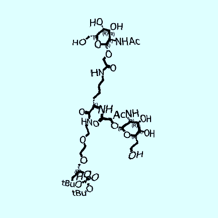 CC(=O)N[C@H]1[C@H](OCC(=O)NCCCC[C@H](NC(=O)CO[C@@H]2O[C@H](CCO)[C@H](O)[C@H](O)[C@H]2NC(C)=O)C(=O)NCCOCCOC[C@@H](CC(C)(C)C)OP(=O)(O)OC(C)(C)C)O[C@H](CO)[C@H](O)[C@@H]1O